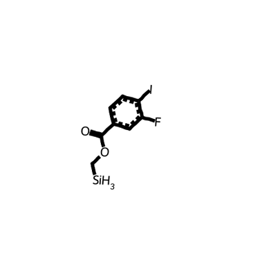 O=C(OC[SiH3])c1ccc(I)c(F)c1